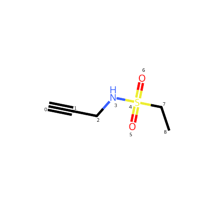 C#CCNS(=O)(=O)CC